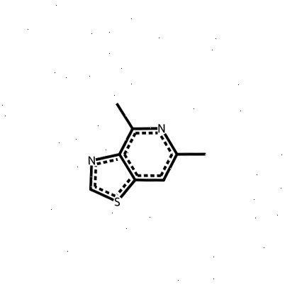 Cc1cc2scnc2c(C)n1